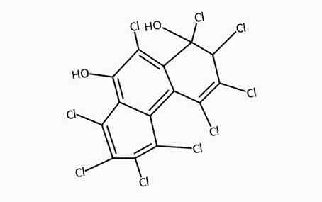 Oc1c(Cl)c2c(c3c(Cl)c(Cl)c(Cl)c(Cl)c13)C(Cl)=C(Cl)C(Cl)C2(O)Cl